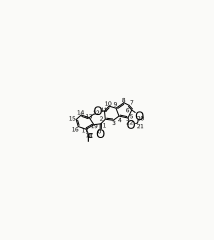 O=c1c2cc3c4c(ccc3cc2oc2cccc(F)c12)OCO4